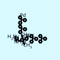 CCOc1cc(Cc2cnc(N)nc2N)cc(OCC)c1-c1cccc(OC)c1.[Pd].c1ccc(P(c2ccccc2)c2ccccc2)cc1.c1ccc(P(c2ccccc2)c2ccccc2)cc1.c1ccc(P(c2ccccc2)c2ccccc2)cc1.c1ccc(P(c2ccccc2)c2ccccc2)cc1